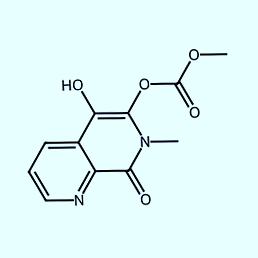 COC(=O)Oc1c(O)c2cccnc2c(=O)n1C